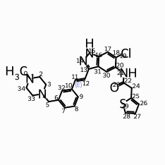 CN1CCN(Cc2cccc(/C=C/c3n[nH]c4cc(Cl)c(NC(=O)Cc5cccs5)cc34)c2)CC1